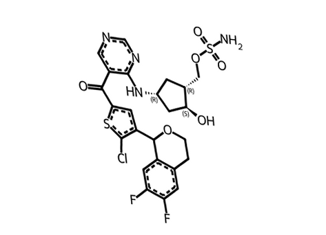 NS(=O)(=O)OC[C@H]1C[C@@H](Nc2ncncc2C(=O)c2cc(C3OCCc4cc(F)c(F)cc43)c(Cl)s2)C[C@@H]1O